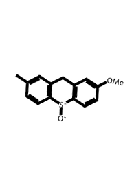 COc1ccc2c(c1)Cc1cc(C)ccc1[S+]2[O-]